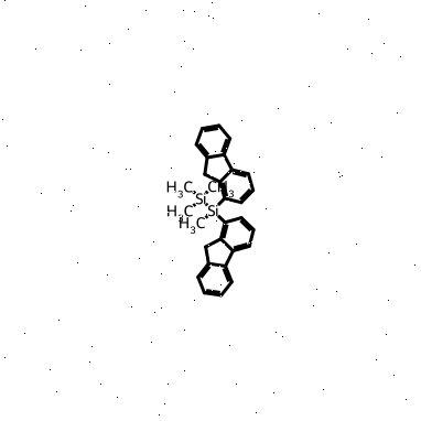 C[Si](C)(C)[Si](C)(c1cccc2c1Cc1ccccc1-2)c1cccc2c1Cc1ccccc1-2